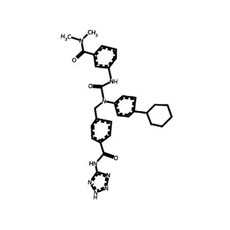 CN(C)C(=O)c1cccc(NC(=O)N(Cc2ccc(C(=O)Nc3nn[nH]n3)cc2)c2ccc(C3CCCCC3)cc2)c1